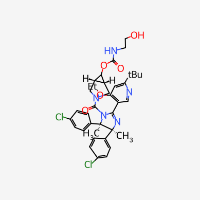 CCOc1cc(C(C)(C)C)ncc1C1=N[C@@](C)(c2ccc(Cl)cc2)[C@@](C)(c2ccc(Cl)cc2)N1C(=O)N1C[C@@H]2C(OC(=O)NCCO)[C@@H]2C1